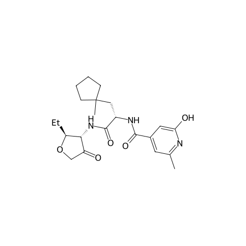 CC[C@@H]1OCC(=O)[C@H]1NC(=O)[C@H](CC1(C)CCCC1)NC(=O)c1cc(C)nc(O)c1